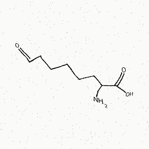 NC(CCCCCC=O)C(=O)O